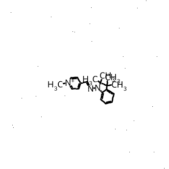 C[n+]1ccc(C=NN2c3ccccc3C(C)(C)C2(C)C)cc1